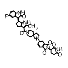 Cc1[nH]c2c(c1C(=O)N1CCC3(CC1)CCN(c1ccc4c(c1)C(=O)N(C1CCC(=O)NC1=O)C4=O)C3)CC/C2=C1/C(=O)Nc2ccc(F)cc21